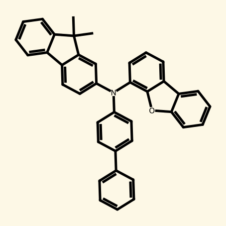 CC1(C)c2ccccc2-c2ccc(N(c3ccc(-c4ccccc4)cc3)c3cccc4c3oc3ccccc34)cc21